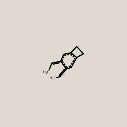 C/C=c1/cc2c(c/c1=C/C)CC2